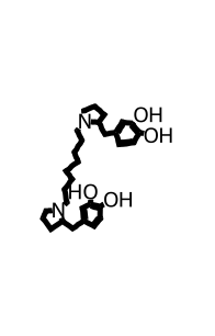 Oc1ccc(CC2CCCN2CCCCCCCCN2CCCC2Cc2ccc(O)c(O)c2)cc1O